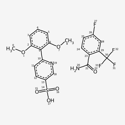 COc1cccc(OC)c1-c1ccc(S(=O)(=O)O)cn1.NC(=O)c1ccc(F)cc1C(F)(F)F